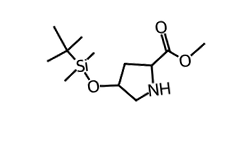 COC(=O)C1CC(O[Si](C)(C)C(C)(C)C)CN1